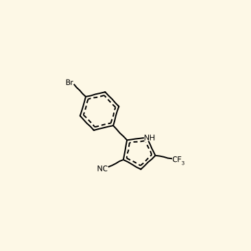 N#Cc1cc(C(F)(F)F)[nH]c1-c1ccc(Br)cc1